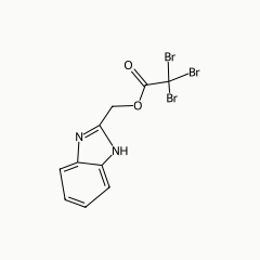 O=C(OCc1nc2ccccc2[nH]1)C(Br)(Br)Br